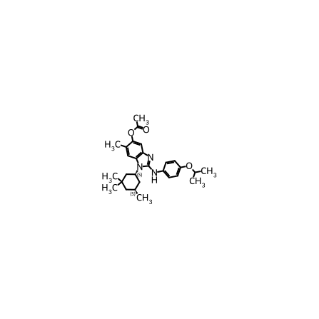 CC(=O)Oc1cc2nc(Nc3ccc(OC(C)C)cc3)n([C@H]3C[C@@H](C)CC(C)(C)C3)c2cc1C